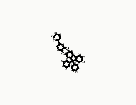 C1=CC(c2ccc3c(c2)Oc2cc4c(cc2O3)C(c2ccccc2)(c2ccccc2)c2ccccc2-4)=NCC1